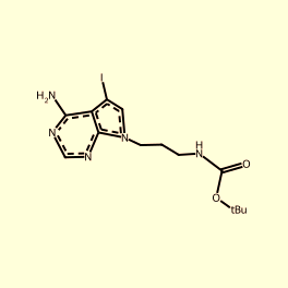 CC(C)(C)OC(=O)NCCCn1cc(I)c2c(N)ncnc21